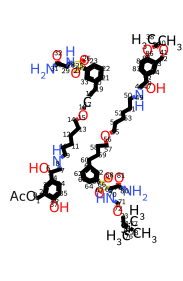 CC(=O)OCc1cc([C@@H](O)CNCCCCCCOCCCCc2cccc(S(=O)(=O)NCC(N)=O)c2)ccc1O.CC1(C)OCc2cc([C@@H](O)CNCCCCCCOCCCCc3cccc(S(=O)(=O)C(NCOCC[Si](C)(C)C)C(N)=O)c3)ccc2O1